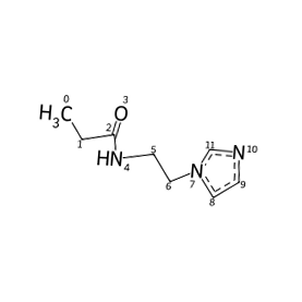 CCC(=O)NCCn1ccnc1